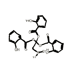 CCN(CC)CC(OC(=O)c1ccccc1O)(OC(=O)c1ccccc1O)OC(=O)c1ccccc1O